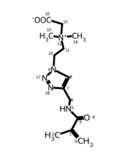 C=C(C)C(=O)NCc1cn(CC[N+](C)(C)CC(=O)[O-])nn1